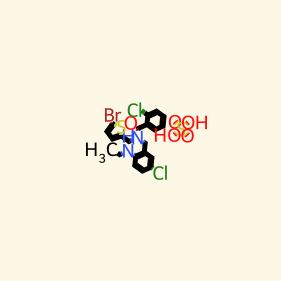 CCNc1ccc(Cl)cc1CN(Cc1ccc(Br)s1)C(=O)c1ccccc1Cl.O=S(=O)(O)O